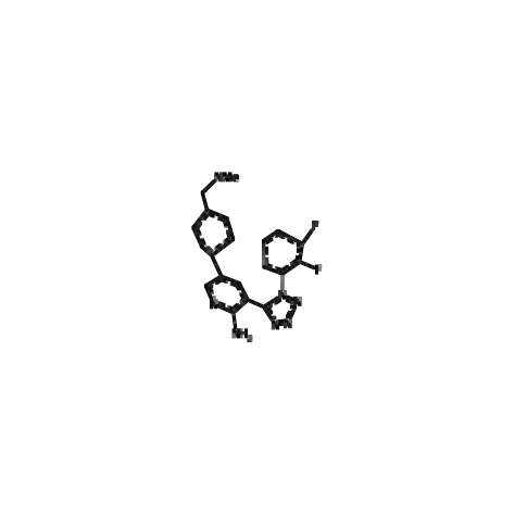 CNCc1ccc(-c2cnc(N)c(-c3nnnn3-c3cccc(F)c3F)c2)cc1